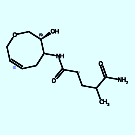 CC(C[CH]C(=O)NC1C/C=C\COC[C@H]1O)C(N)=O